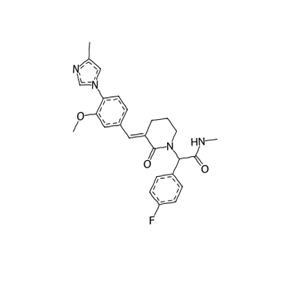 CNC(=O)C(c1ccc(F)cc1)N1CCCC(=Cc2ccc(-n3cnc(C)c3)c(OC)c2)C1=O